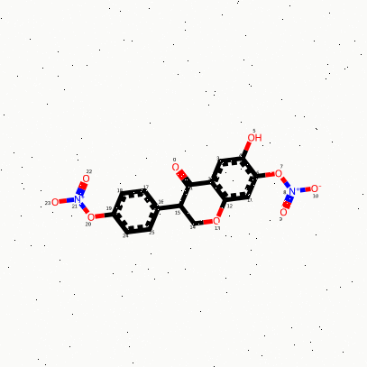 O=C1c2cc(O)c(O[N+](=O)[O-])cc2OCC1c1ccc(O[N+](=O)[O-])cc1